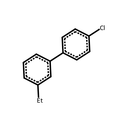 CCc1cccc(-c2ccc(Cl)cc2)c1